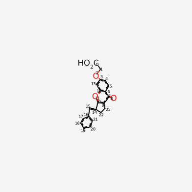 O=C(O)COc1ccc2c(=O)c3c(oc2c1)/C(=C/c1ccccc1)CC3